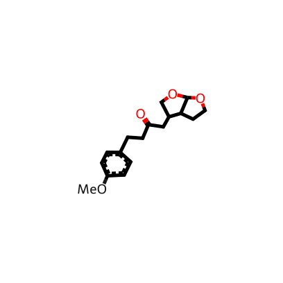 COc1ccc(CCC(=O)CC2COC3OCCC23)cc1